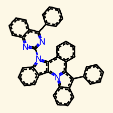 c1ccc(-c2nc(-n3c4ccccc4c4c3c3ccccc3c3c(-c5ccccc5)c5ccccc5n34)nc3ccccc23)cc1